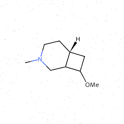 COC1C[C@H]2CCN(C)CC12